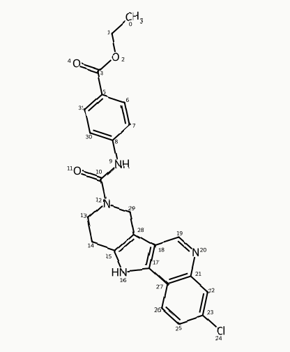 CCOC(=O)c1ccc(NC(=O)N2CCc3[nH]c4c(cnc5cc(Cl)ccc54)c3C2)cc1